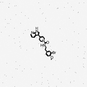 COc1ccc(CCNC(=O)N2CC=C(c3c[nH]c4ncccc34)CC2)cc1Br